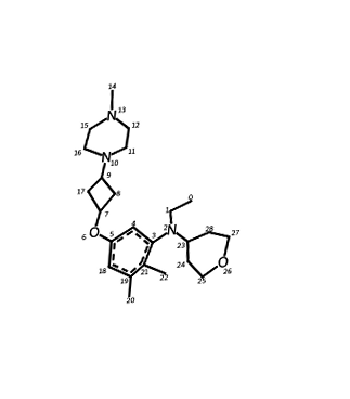 CCN(c1cc(OC2CC(N3CCN(C)CC3)C2)cc(C)c1C)C1CCOCC1